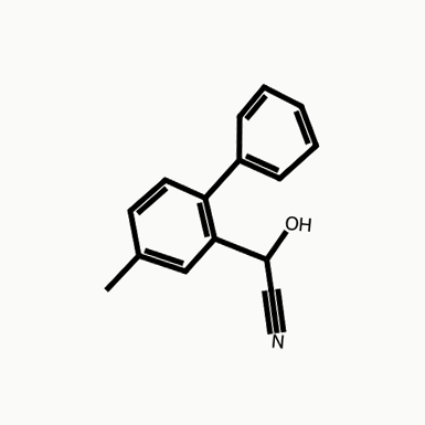 Cc1ccc(-c2ccccc2)c(C(O)C#N)c1